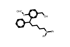 CC(C)N(CCCCC(c1ccccc1)c1cc(CO)ccc1OC=O)C(C)C